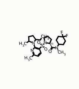 CCC1CCC(C)N1c1nc(C)ccc1S(=O)(=O)N1CCC[C@H]1C(=O)N(C)C1CCC(F)(F)CC1